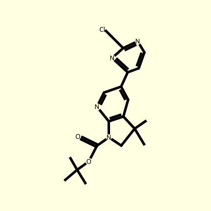 CC(C)(C)OC(=O)N1CC(C)(C)c2cc(-c3ccnc(Cl)n3)cnc21